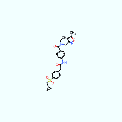 CCN(Cc1cc(C)on1)C(=O)c1ccc(NC(=O)Cc2ccc(S(=O)(=O)CC3CC3)cc2)cc1